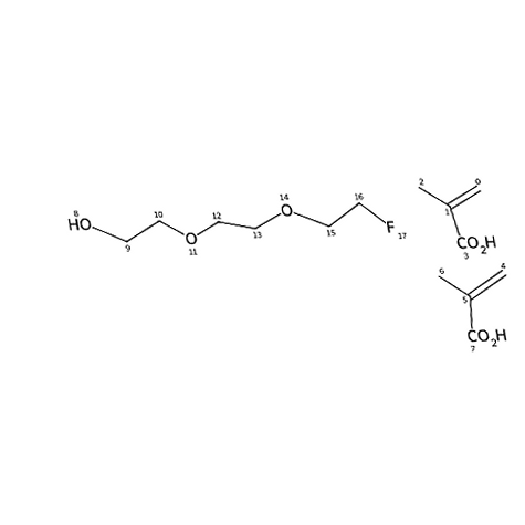 C=C(C)C(=O)O.C=C(C)C(=O)O.OCCOCCOCCF